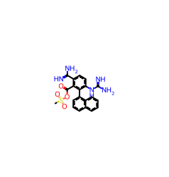 CS(=O)(=O)OC(=O)c1c(C(=N)N)ccc(NC(=N)N)c1-c1cccc2ccccc12